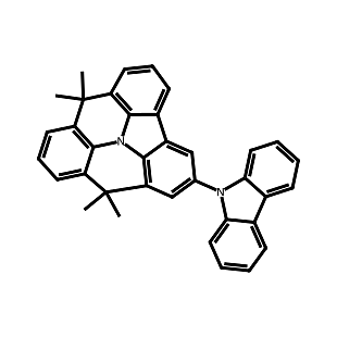 CC1(C)c2cccc3c2-n2c4c1cccc4c1cc(-n4c5ccccc5c5ccccc54)cc(c12)C3(C)C